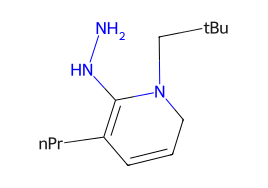 CCCC1=C(NN)N(CC(C)(C)C)CC=C1